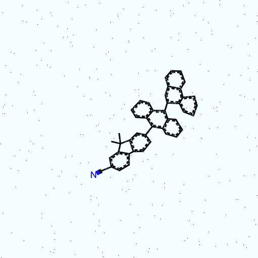 CC1(C)c2cc(C#N)ccc2-c2ccc(-c3c4ccccc4c(-c4cc5ccccc5c5ccccc45)c4ccccc34)cc21